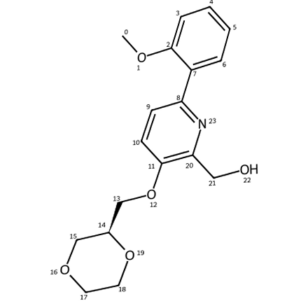 COc1ccccc1-c1ccc(OC[C@@H]2COCCO2)c(CO)n1